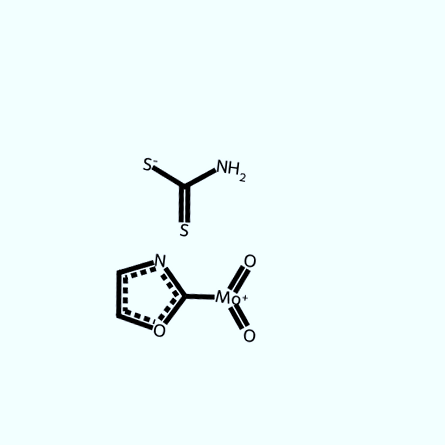 NC(=S)[S-].[O]=[Mo+](=[O])[c]1ncco1